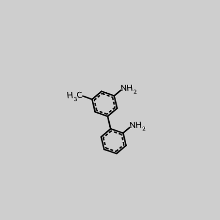 Cc1cc(N)cc(-c2ccccc2N)c1